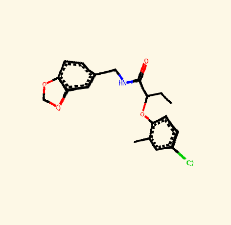 CCC(Oc1ccc(Cl)cc1C)C(=O)NCc1ccc2c(c1)OCO2